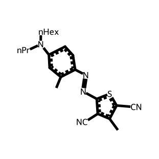 CCCCCCN(CCC)c1ccc(/N=N/c2sc(C#N)c(C)c2C#N)c(C)c1